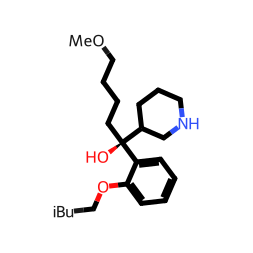 CCC(C)COc1ccccc1[C@](O)(CCCCOC)C1CCCNC1